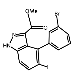 COC(=O)c1n[nH]c2ccc(I)c(-c3cccc(Br)c3)c12